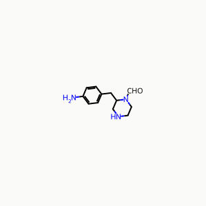 Nc1ccc(CC2CNCCN2C=O)cc1